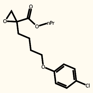 CCCOC(=O)C1(CCCCOc2ccc(Cl)cc2)CO1